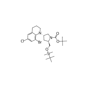 CC(C)(C)OC(=O)N1C[C@@H](N2CCCc3cc(Cl)cc(Br)c32)C[C@@H]1CO[Si](C)(C)C(C)(C)C